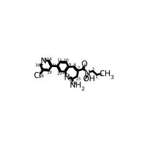 CCCN(O)C(=O)C1=Cc2ccc(-c3cncc(Cl)c3)cc2N=C(N)C1